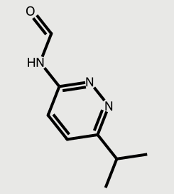 CC(C)c1ccc(NC=O)nn1